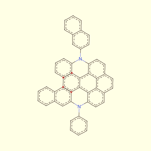 c1ccc(N(c2ccc3ccccc3c2)c2ccc3ccc4ccc(N(c5ccccc5)c5ccc6ccccc6c5)c5c6ccccc6c2c3c45)cc1